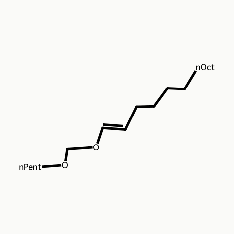 CCCCCCCCCCCCC=COCOCCCCC